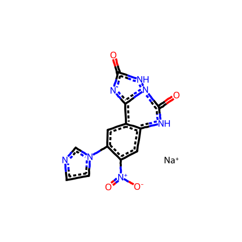 O=c1nc2c3cc(-n4ccnc4)c([N+](=O)[O-])cc3[nH]c(=O)n2[nH]1.[Na+]